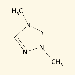 CN1C=NN(C)C1